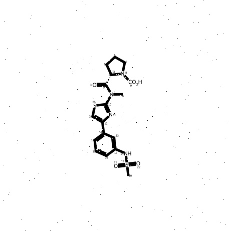 CN(C(=O)[C@@H]1CCCN1C(=O)O)c1nc(-c2cccc(NS(C)(=O)=O)c2)cs1